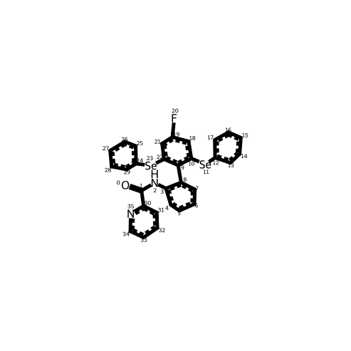 O=C(Nc1ccccc1-c1c([Se]c2ccccc2)cc(F)cc1[Se]c1ccccc1)c1ccccn1